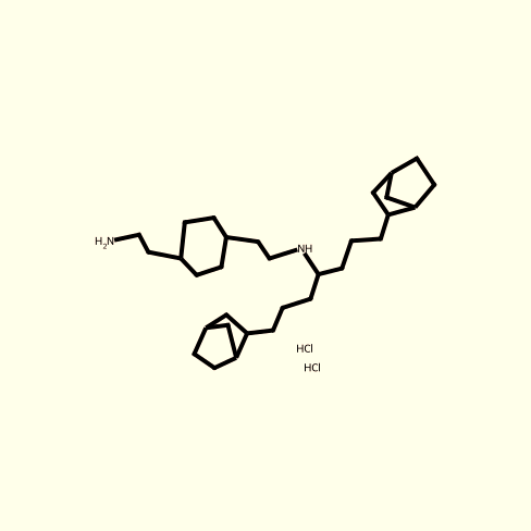 Cl.Cl.NCCC1CCC(CCNC(CCCC2CC3CCC2C3)CCCC2CC3CCC2C3)CC1